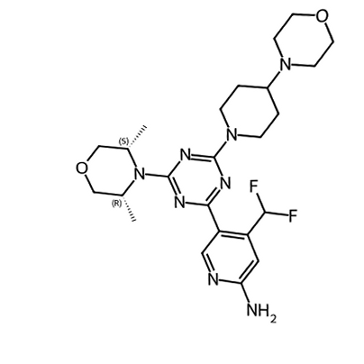 C[C@@H]1COC[C@H](C)N1c1nc(-c2cnc(N)cc2C(F)F)nc(N2CCC(N3CCOCC3)CC2)n1